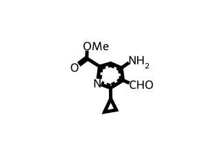 COC(=O)c1cc(N)c(C=O)c(C2CC2)n1